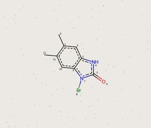 Cc1cc2[nH]c(=O)n(Br)c2cc1C